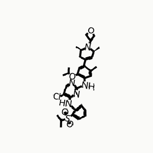 Cc1cc(Nc2ncc(Cl)c(Nc3ccccc3S(=O)(=O)C(C)C)n2)c(OC(C)C)cc1C1=C[C@H](C)N(C2COC2)[C@H](C)C1